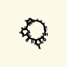 Cn1cc2c(n1)C(=O)N/C=C\CCCn1cc(cn1)-c1cccc(n1)C(=O)N2